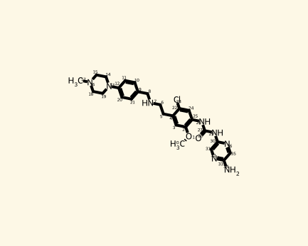 COc1cc(CCNCc2ccc(N3CCN(C)CC3)cc2)c(Cl)cc1NC(=O)Nc1cnc(N)cn1